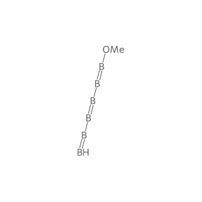 B=BB=BB=BOC